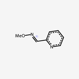 CO/N=C/c1ccccn1